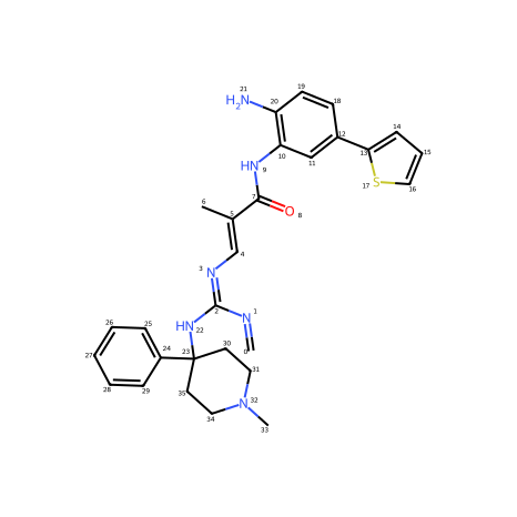 C=N/C(=N\C=C(/C)C(=O)Nc1cc(-c2cccs2)ccc1N)NC1(c2ccccc2)CCN(C)CC1